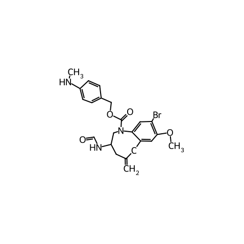 C=C1Cc2cc(OC)c(Br)cc2N(C(=O)OCc2ccc(NC)cc2)CC(NC=O)C1